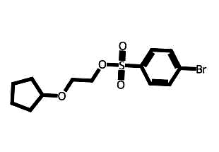 O=S(=O)(OCCOC1CCCC1)c1ccc(Br)cc1